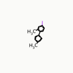 Cc1ccc(-c2ccc(I)cc2C)cc1